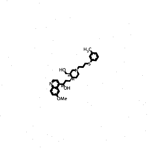 COc1ccc2nccc([C@H](O)CC[C@@H]3CCN(CCCSc4cccc(C)c4)C[C@@H]3CO)c2c1